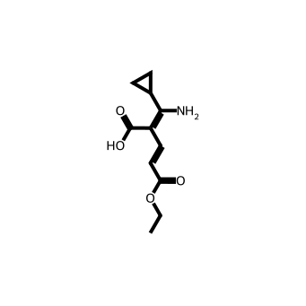 CCOC(=O)C=CC(C(=O)O)=C(N)C1CC1